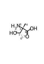 C[C@H](O)[C@](C)(N)C(=O)O